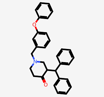 O=C1CCN(Cc2cccc(Oc3ccccc3)c2)CC1C(c1ccccc1)c1ccccc1